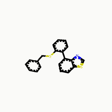 [c]1nc2c(-c3ccccc3SCc3ccccc3)cccc2s1